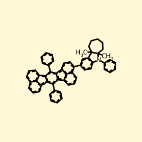 CC12CCCCCC1(C)N(c1ccccc1)c1ccc(-c3ccc4c5c(-c6ccccc6)c6c7cccc8cccc(c6c(-c6ccccc6)c5c5cccc3c54)c87)cc12